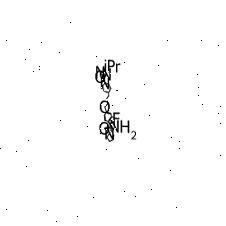 CC(C)c1noc(N2CCC(CCCOc3ccc([C@H](N)C(=O)N4CCCC4)c(F)c3)CC2)n1